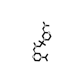 CC(C)N1CCO[C@@H](CN(C)CC(C)(C)N2CCO[C@H](CN(C)C)C2)C1